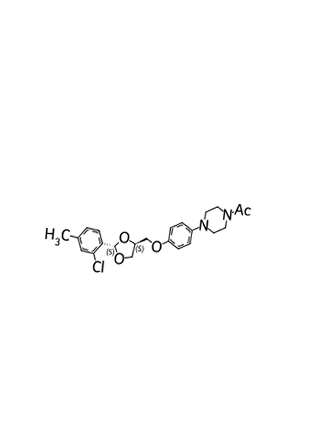 CC(=O)N1CCN(c2ccc(OC[C@H]3CO[C@H](c4ccc(C)cc4Cl)O3)cc2)CC1